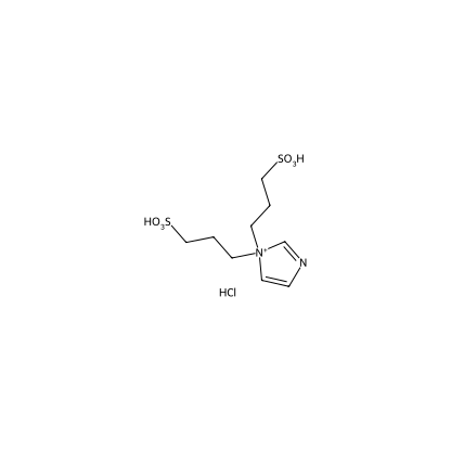 Cl.O=S(=O)(O)CCC[N+]1(CCCS(=O)(=O)O)C=CN=C1